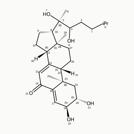 CC(C)CCC(O)[C@](C)(O)[C@H]1CC[C@H]2C3=CC(=O)C4=C[C@H](O)[C@@H](O)C[C@]4(C)[C@H]3CC[C@@]21C